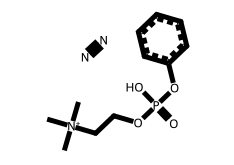 C[N+](C)(C)CCOP(=O)(O)Oc1ccccc1.N#N